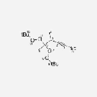 CCC#CC(C)C(C)(OOC(C)(C)C)OOC(C)(C)C